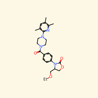 CCOCC1COC(=O)N1c1ccc(C(=O)N2CCN(c3nc(C)c(C)cc3C)CC2)cc1